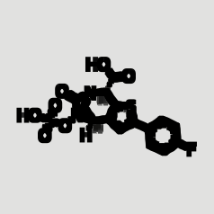 O=C(O)[C@@H]1c2sc(-c3ccc(F)cc3)cc2[C@@H]2CN1C(=O)N2OS(=O)(=O)O